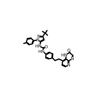 Cc1ccc(-n2nc(C(C)(C)C)cc2NC(=O)Nc2ccc(CCc3ccnc4ncc(=O)[nH]c34)cc2)cc1